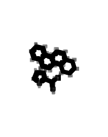 O=C(Cl)c1ccco1.c1ccc2c(c1)ccc1c3c(ccc12)CCCC3